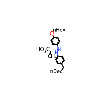 C=CC(=O)O.CCCCCCCCCCCc1ccc(/N=N/c2ccc(OCCCCCC)cc2)cc1